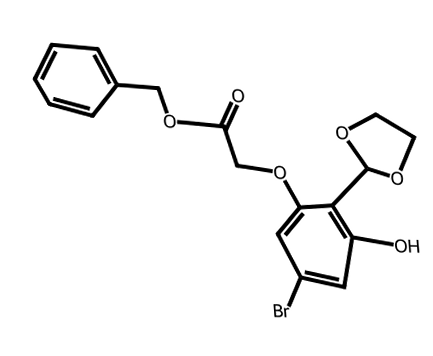 O=C(COc1cc(Br)cc(O)c1C1OCCO1)OCc1ccccc1